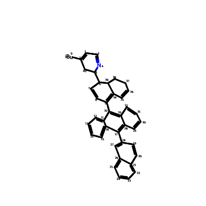 CCC(C)C1=CC=NC(C2C=CC(c3c4ccccc4c(-c4ccc5ccccc5c4)c4ccccc34)=C3C=CCCC32)C1